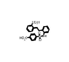 O=C(O)c1ccc(S(=O)(=O)Nc2ccccc2CCc2ccccc2C(=O)O)cc1